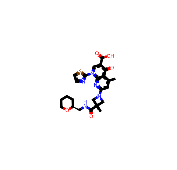 Cc1cc(N2CC(C)(C(=O)NC[C@@H]3CCCCO3)C2)nc2c1c(=O)c(C(=O)O)cn2-c1nccs1